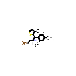 Cc1ccc(/C(=C/CCBr)c2sccc2C)c(C)c1